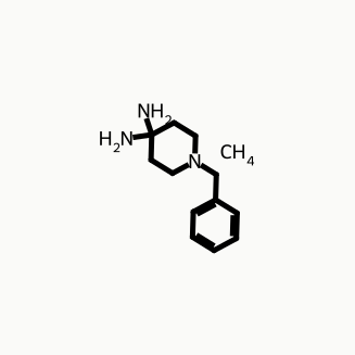 C.NC1(N)CCN(Cc2ccccc2)CC1